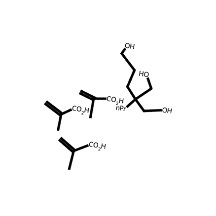 C=C(C)C(=O)O.C=C(C)C(=O)O.C=C(C)C(=O)O.CCCC(CO)(CO)CCCO